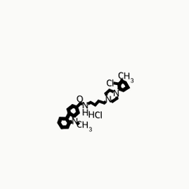 Cc1cccc(N2CCN(CCCCNC(=O)c3ccc4c5ccccc5n(C)c4c3)CC2)c1Cl.Cl